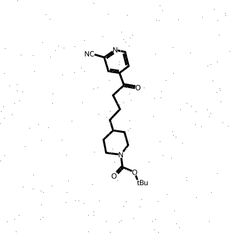 CC(C)(C)OC(=O)N1CCC(CCCC(=O)c2ccnc(C#N)c2)CC1